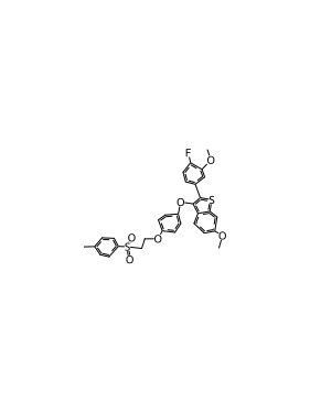 COc1ccc2c(Oc3ccc(OCCS(=O)(=O)c4ccc(C)cc4)cc3)c(-c3ccc(F)c(OC)c3)sc2c1